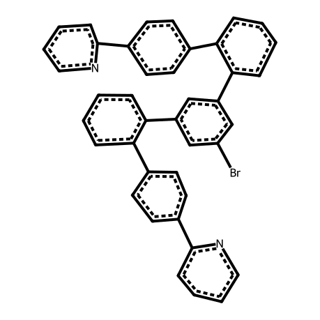 Brc1cc(-c2ccccc2-c2ccc(-c3ccccn3)cc2)cc(-c2ccccc2-c2ccc(-c3ccccn3)cc2)c1